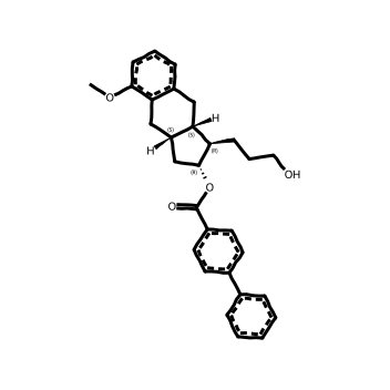 COc1cccc2c1C[C@H]1C[C@@H](OC(=O)c3ccc(-c4ccccc4)cc3)[C@H](CCCO)[C@H]1C2